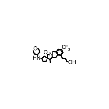 CC1C2Cc3c(CCCO)cc(C(F)(F)F)cc3CN2C(=O)[C@]12CC[C@@H](NC1CCOCC1)C2